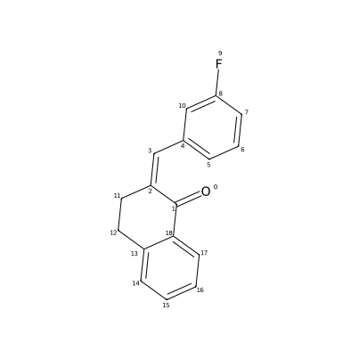 O=C1C(=Cc2cccc(F)c2)CCc2ccccc21